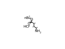 CCCCOC(=O)CCCN.Cl